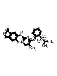 Cc1cnc(Nc2cc3c(cc2F)C=NC3=O)nc1Nc1ccccc1S(=O)(=O)C(C)C